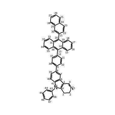 C1=NCCc2c1c1cc(-c3ccc(-c4c5ccccc5c(-c5ccc6ccccc6c5)c5ccccc45)cc3)ccc1n2-c1ccccc1